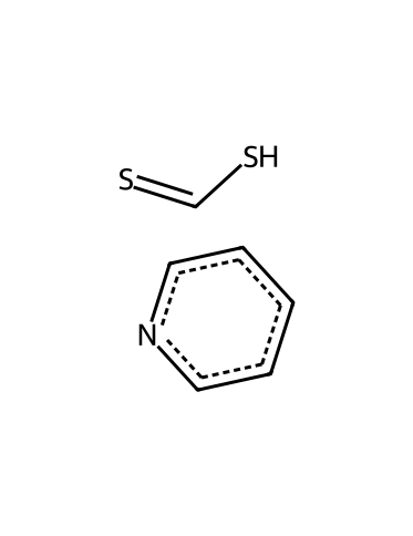 S=CS.c1ccncc1